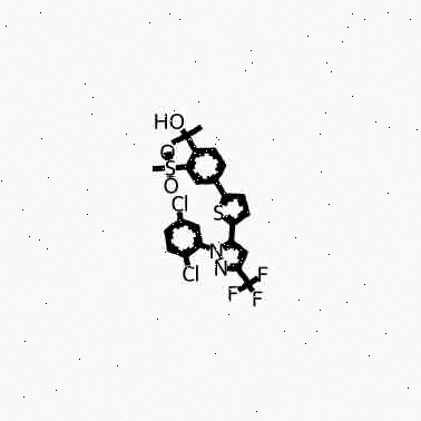 CC(C)(O)c1ccc(-c2ccc(-c3cc(C(F)(F)F)nn3-c3cc(Cl)ccc3Cl)s2)cc1S(C)(=O)=O